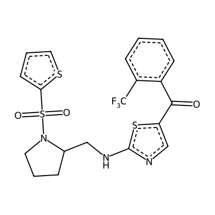 O=C(c1cnc(NCC2CCCN2S(=O)(=O)c2cccs2)s1)c1ccccc1C(F)(F)F